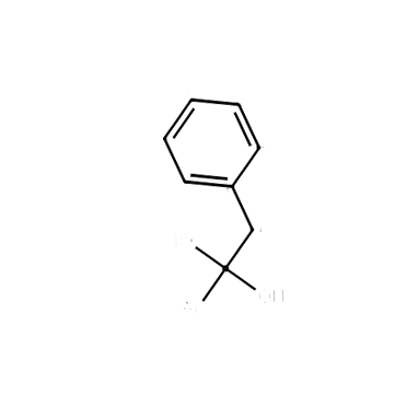 CC(=O)C(O)(O)Cc1ccccc1